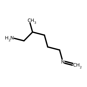 C=NCCCC(C)CN